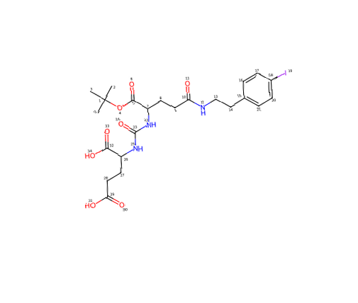 CC(C)(C)OC(=O)C(CCC(=O)NCCc1ccc(I)cc1)NC(=O)NC(CCC(=O)O)C(=O)O